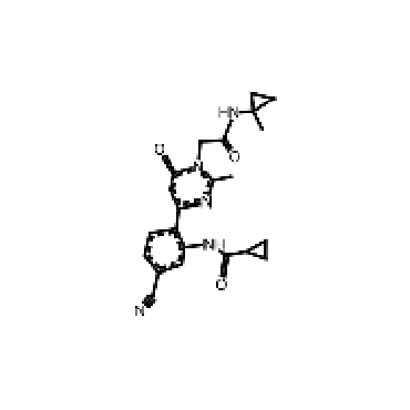 Cc1nc(-c2ccc(C#N)cc2NC(=O)C2CC2)cc(=O)n1CC(=O)NC1(C)CC1